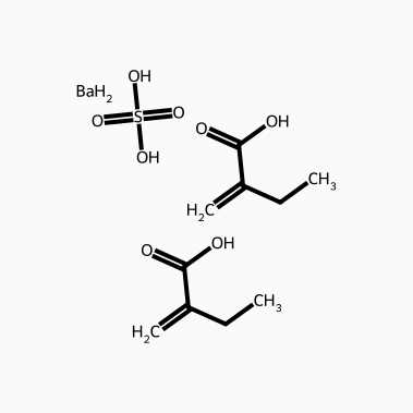 C=C(CC)C(=O)O.C=C(CC)C(=O)O.O=S(=O)(O)O.[BaH2]